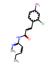 CC/C=C\C(=N/C)NC(=O)/C=C/c1ccc(P)cc1Cl